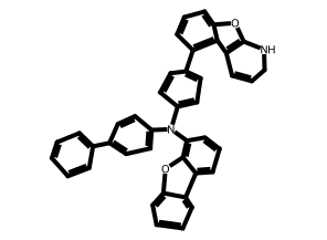 C1=Cc2c(oc3cccc(-c4ccc(N(c5ccc(-c6ccccc6)cc5)c5cccc6c5oc5ccccc56)cc4)c23)NC1